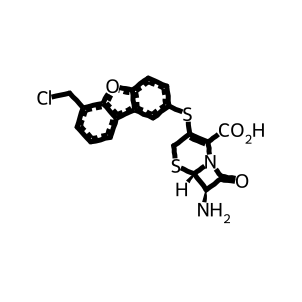 N[C@@H]1C(=O)N2C(C(=O)O)=C(Sc3ccc4oc5c(CCl)cccc5c4c3)CS[C@@H]12